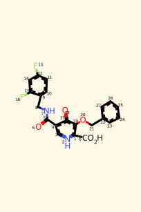 O=C(O)c1[nH]cc(C(=O)NCc2ccc(F)cc2F)c(=O)c1OCc1ccccc1